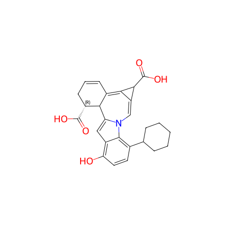 O=C(O)C1C2=Cn3c(cc4c(O)ccc(C5CCCCC5)c43)C3C(=C21)C=CC[C@H]3C(=O)O